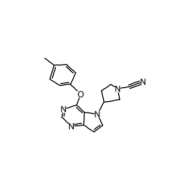 Cc1ccc(Oc2ncnc3ccn(C4CCN(C#N)C4)c23)cc1